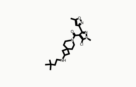 Cc1cc(-c2nn(C)c(Cl)c2C(=O)N2CCC3(CC2)CC(NCCC(C)(C)C)C3)no1